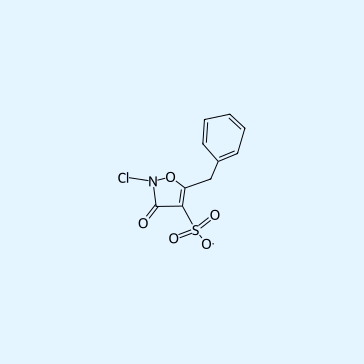 [O]S(=O)(=O)c1c(Cc2ccccc2)on(Cl)c1=O